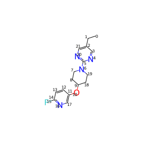 CCc1cnc(N2CCC(Oc3ccc(F)nc3)CC2)nc1